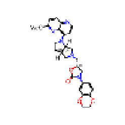 COc1ccc2nccc(N3CC[C@H]4CN(C[C@@H]5CN(c6ccc7c(c6)OCCO7)C(=O)O5)C[C@H]43)c2n1